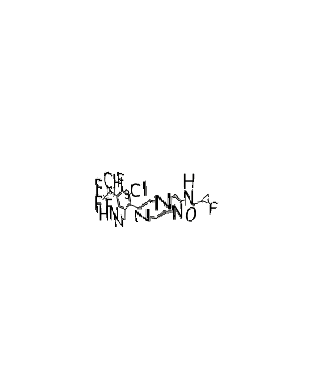 C[C@@H](c1c(F)c(Cl)c(-c2cn3cc(NC(=O)C4CC4F)nc3cn2)c2cn[nH]c12)C(F)(F)F